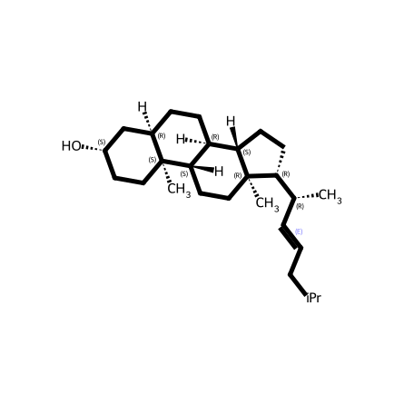 CC(C)C/C=C/[C@@H](C)[C@H]1CC[C@H]2[C@@H]3CC[C@@H]4C[C@@H](O)CC[C@]4(C)[C@H]3CC[C@]12C